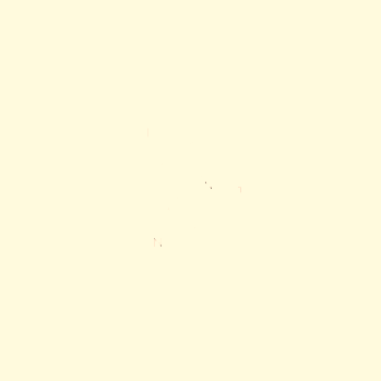 Cc1cc(F)cc2c3cc([N+](=O)[O-])ccc3n(C(C)C)c12